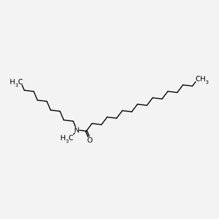 CCCCCCCCCCCCCCCC(=O)N(C)CCCCCCCCC